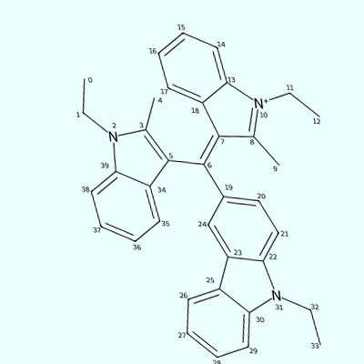 CCn1c(C)c(/C(=C2/C(C)=[N+](CC)c3ccccc32)c2ccc3c(c2)c2ccccc2n3CC)c2ccccc21